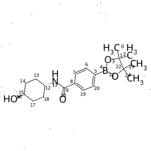 CC1(C)OB(c2ccc(C(=O)N[C@H]3CC[C@H](O)CC3)cc2)OC1(C)C